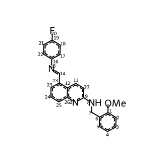 COc1ccccc1CNc1ccc2c(C=Nc3ccc(F)cc3)cccc2n1